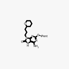 CCC[C@H](C)Oc1nc(N)c2[nH]c(=O)n(CCCC3CCCCO3)c2n1